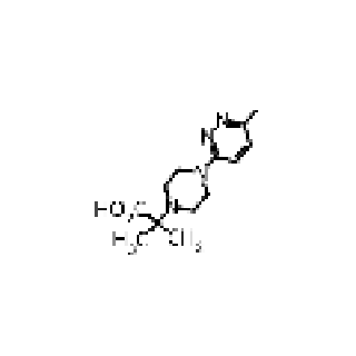 CC(C)(C(=O)O)N1CCN(c2ccc(I)nn2)CC1